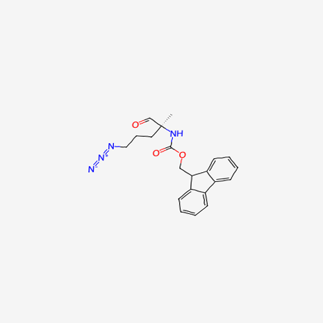 C[C@@](C=O)(CCCN=[N+]=[N-])NC(=O)OCC1c2ccccc2-c2ccccc21